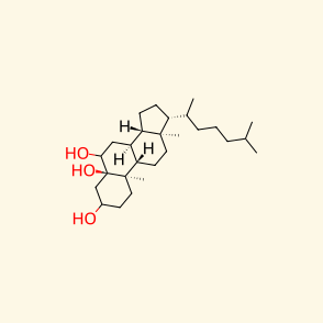 CC(C)CCCC(C)[C@H]1CC[C@H]2[C@@H]3CC(O)[C@@]4(O)CC(O)CC[C@]4(C)[C@H]3CC[C@]12C